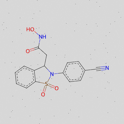 N#Cc1ccc(N2C(CC(=O)NO)c3ccccc3S2(=O)=O)cc1